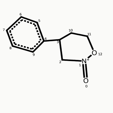 O=[N+]1CC(c2ccccc2)CCO1